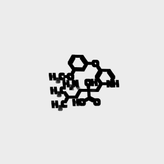 COc1cccc(OC2=CC(C[C@](O)(C(=O)O)[C@@H](N)CC(C)C)NC=C2)c1